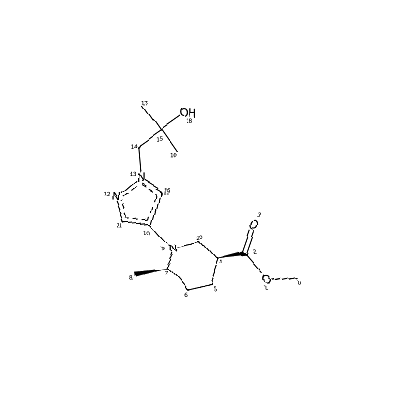 COC(=O)[C@H]1CC[C@@H](C)N(c2cnn(CC(C)(C)O)c2)C1